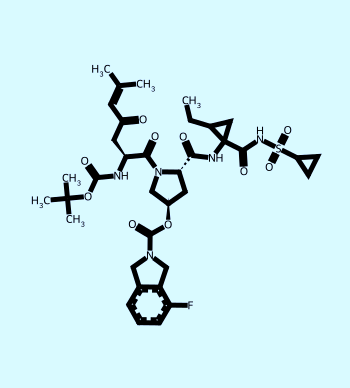 CCC1CC1(NC(=O)[C@@H]1C[C@@H](OC(=O)N2Cc3cccc(F)c3C2)CN1C(=O)[C@H](CC(=O)C=C(C)C)NC(=O)OC(C)(C)C)C(=O)NS(=O)(=O)C1CC1